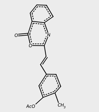 CC(=O)Oc1cc(/C=C/c2nc3ccccc3c(=O)o2)ccc1C